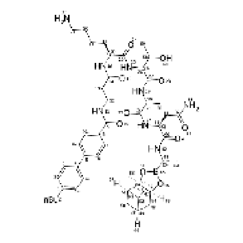 CCCCc1ccc(-c2ccc(C(=O)NCCC(=O)N[C@@H](CCCCN)C(=O)N[C@H](C(=O)N[C@@H](C)C(=O)N[C@@H](CC(N)=O)C(=O)N[C@H](C)B3O[C@H]4C[C@H]5C[C@H](C5(C)C)[C@@]4(C)O3)C(C)O)cc2)cc1